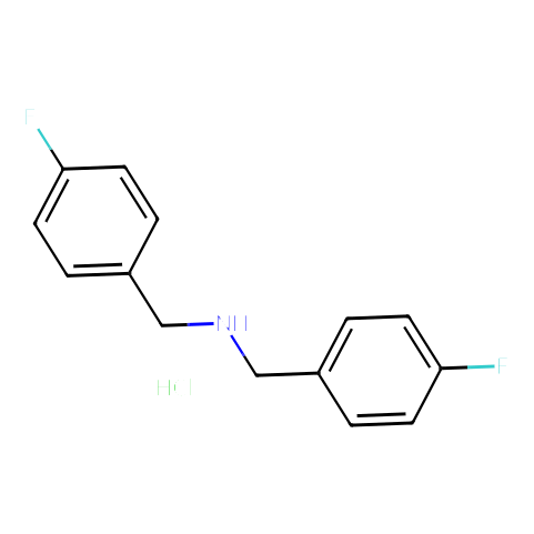 Cl.Fc1ccc(CNCc2ccc(F)cc2)cc1